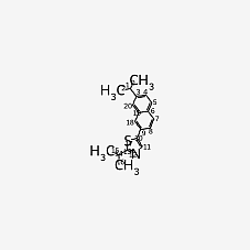 CC(C)c1ccc2ccc(-c3cnc(C(C)C)s3)cc2c1